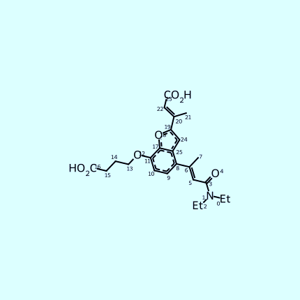 CCN(CC)C(=O)/C=C(\C)c1ccc(OCCCC(=O)O)c2oc(/C(C)=C/C(=O)O)cc12